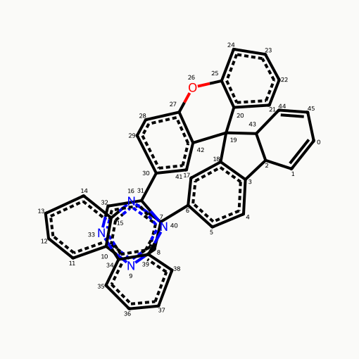 C1=CC2c3ccc(-c4cnc5ccccc5n4)cc3C3(c4ccccc4Oc4ccc(-c5cnc6ccccc6n5)cc43)C2C=C1